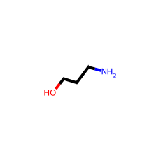 N[CH]CCO